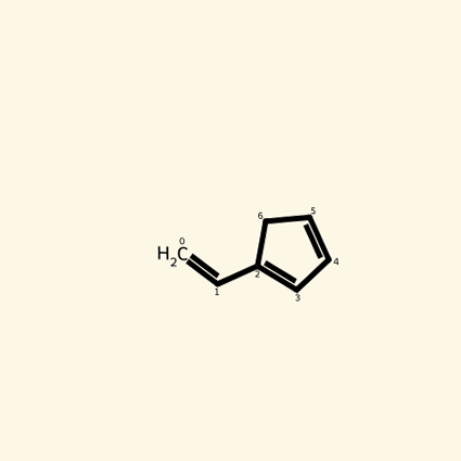 C=CC1=CC=CC1